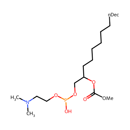 CCCCCCCCCCCCCCCCC(COP(O)OCCN(C)C)OC(=O)OC